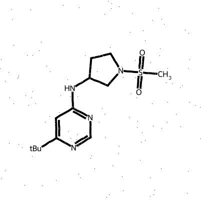 CC(C)(C)c1cc(NC2CCN(S(C)(=O)=O)C2)ncn1